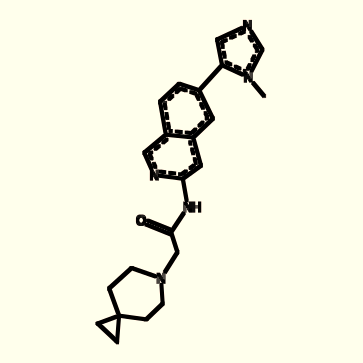 Cn1cncc1-c1ccc2cnc(NC(=O)CN3CCC4(CC3)CC4)cc2c1